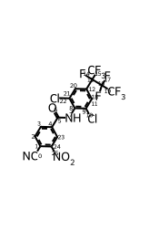 N#Cc1ccc(C(=O)Nc2c(Cl)cc(C(F)(C(F)(F)F)C(F)(F)C(F)(F)F)cc2Cl)cc1[N+](=O)[O-]